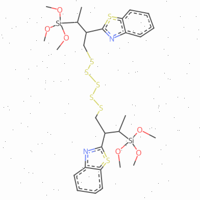 CO[Si](OC)(OC)C(C)C(CSSSSSCC(c1nc2ccccc2s1)C(C)[Si](OC)(OC)OC)c1nc2ccccc2s1